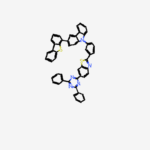 c1ccc(-c2nc(-c3ccccc3)nc(-c3ccc4nc(-c5cccc(-n6c7ccccc7c7cc(-c8cccc9c8sc8ccccc89)ccc76)c5)sc4c3)n2)cc1